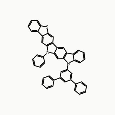 c1ccc(-c2cc(-c3ccccc3)cc(-n3c4ccccc4c4cc5c6cc7sc8ccccc8c7cc6n(-c6ccccc6)c5cc43)c2)cc1